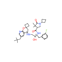 CC(C)(C)Cc1cnc2c(c1)[C@@H](NC[C@@H](O)[C@H](Cc1cccc(F)c1)NC(=O)C1CN(C3CCC3)C(=O)C1(C)C)CC1(CCC1)O2